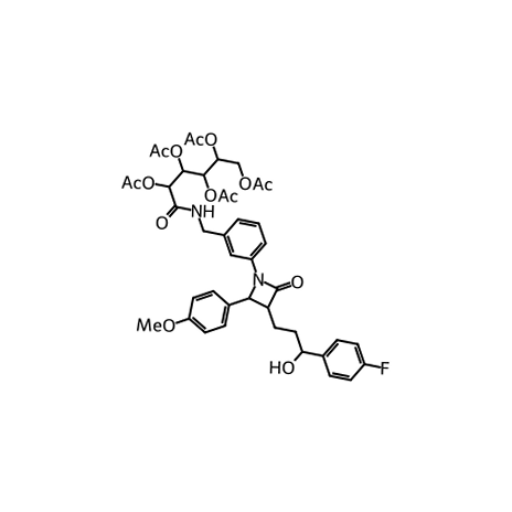 COc1ccc(C2C(CCC(O)c3ccc(F)cc3)C(=O)N2c2cccc(CNC(=O)C(OC(C)=O)C(OC(C)=O)C(OC(C)=O)C(COC(C)=O)OC(C)=O)c2)cc1